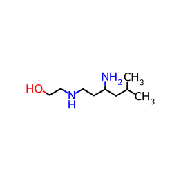 CC(C)CC(N)CCNCCO